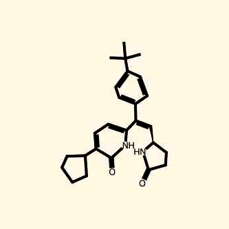 CC(C)(C)c1ccc(/C(=C/[C@H]2CCC(=O)N2)c2ccc(C3CCCC3)c(=O)[nH]2)cc1